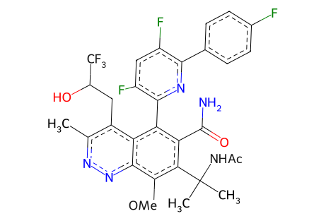 COc1c(C(C)(C)NC(C)=O)c(C(N)=O)c(-c2nc(-c3ccc(F)cc3)c(F)cc2F)c2c(CC(O)C(F)(F)F)c(C)nnc12